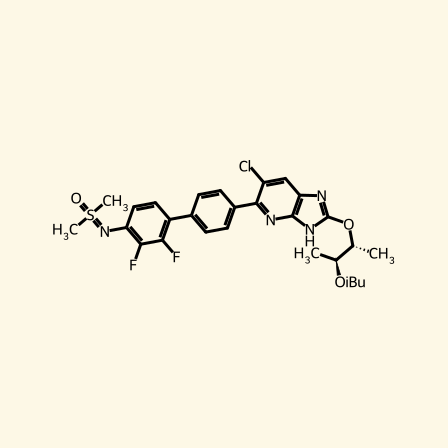 CC(C)CO[C@@H](C)[C@@H](C)Oc1nc2cc(Cl)c(-c3ccc(-c4ccc(N=S(C)(C)=O)c(F)c4F)cc3)nc2[nH]1